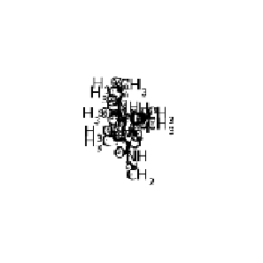 C=CCNC(=O)C(=O)C(CC(C)(C)C)NC(=O)[C@@H]1[C@@H]2[C@H](CN1C(=O)[C@@H](NC(=O)CC(C)(C)C)C(C)(C)C)C2(C)C